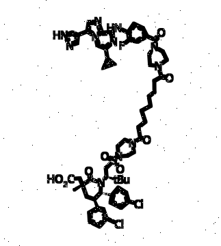 CC(C)(C)[C@@H](CS(=O)(=O)N1CCN(C(=O)CCCCCCCC(=O)N2CCN(C(=O)c3ccc(Nc4nc(C5CC5)cn5c(-c6cn[nH]c6)cnc45)c(F)c3)CC2)CC1)N1C(=O)[C@@](C)(CC(=O)O)C[C@H](c2cccc(Cl)c2)[C@H]1c1ccc(Cl)cc1